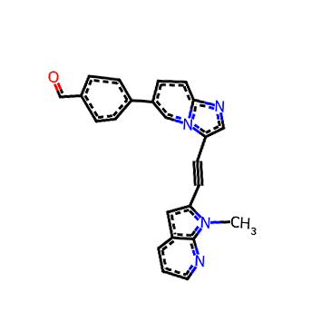 Cn1c(C#Cc2cnc3ccc(-c4ccc(C=O)cc4)cn23)cc2cccnc21